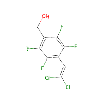 OCc1c(F)c(F)c(C=C(Cl)Cl)c(F)c1F